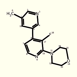 Cc1cncc(-c2ccnc(N3CCOCC3)c2F)c1